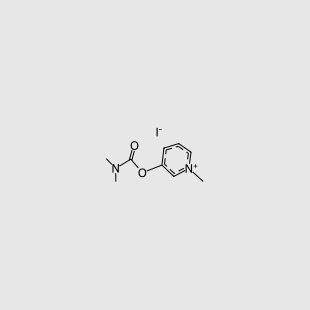 CN(C)C(=O)Oc1ccc[n+](C)c1.[I-]